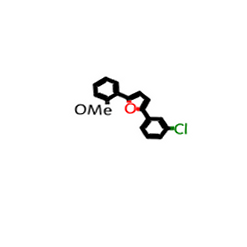 COc1ccccc1-c1ccc(-c2cccc(Cl)c2)o1